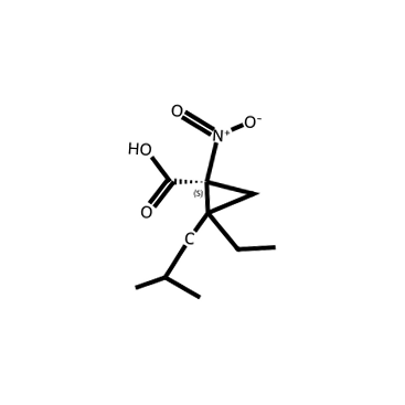 CCC1(CC(C)C)C[C@]1(C(=O)O)[N+](=O)[O-]